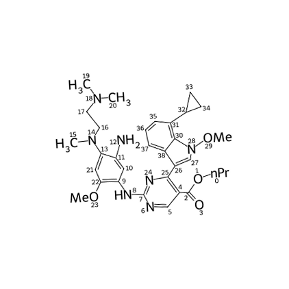 CCCOC(=O)c1cnc(Nc2cc(N)c(N(C)CCN(C)C)cc2OC)nc1-c1cn(OC)c2c(C3CC3)cccc12